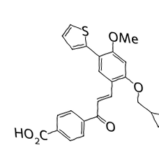 COc1cc(OCC2CC2)c(C=CC(=O)c2ccc(C(=O)O)cc2)cc1-c1cccs1